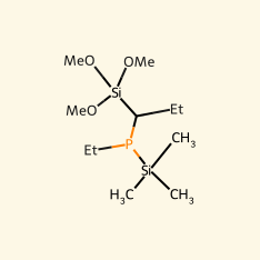 CCC(P(CC)[Si](C)(C)C)[Si](OC)(OC)OC